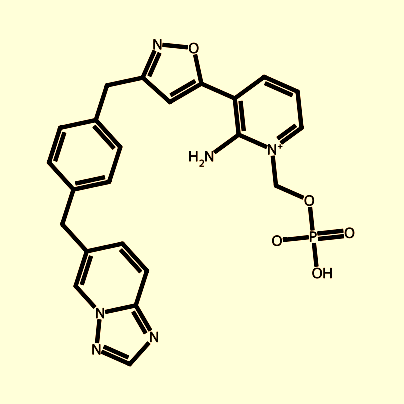 Nc1c(-c2cc(Cc3ccc(Cc4ccc5ncnn5c4)cc3)no2)ccc[n+]1COP(=O)([O-])O